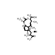 CO[C@H]1C[C@H]2C=C[C@@H]3C[C@]2(O[C@H]3[C@H](C#N)C(C)C(C)=O)/C(C)=C/[C@@H](C)[C@@H]([C@@H](C)O)OC1=O